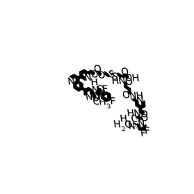 C=NC[C@@H]1CC(F)(F)CN1C(=O)[C@H](C)NC(=O)c1ccnc(CNC(=O)CCC(=O)NC(CSSCCOC(=O)OCc2ccc(-c3ccnc4ccc(-c5cnc(OC)c(NS(=O)(=O)c6ccc(F)cc6F)c5)cc34)cn2)C(=O)O)c1